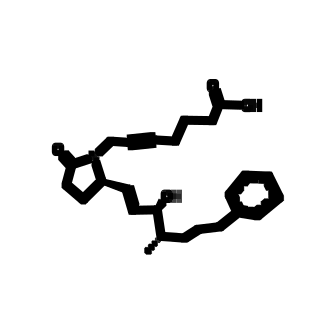 C[C@@H](CCCc1ccccc1)[C@H](O)/C=C/[C@H]1CCC(=O)N1CC#CCCCC(=O)O